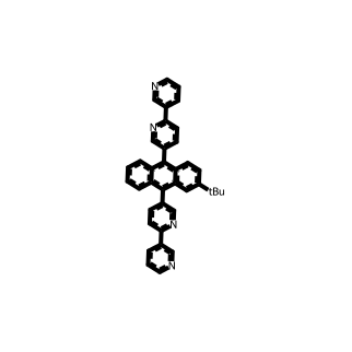 CC(C)(C)c1ccc2c(-c3ccc(-c4cccnc4)nc3)c3ccccc3c(-c3ccc(-c4cccnc4)nc3)c2c1